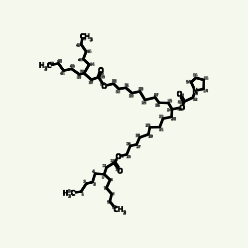 CCCCCC(CCCCC)CC(=O)OCCCCCCCCCC(CCCCCCCCCOC(=O)CC(CCCCC)CCCCC)OC(=O)CN1CCCC1